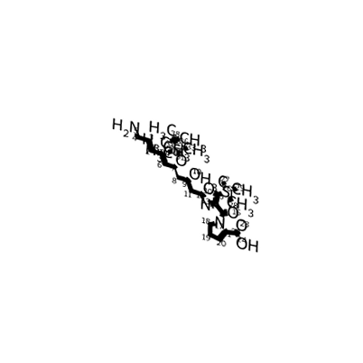 CC(/C=C/CN)=C\[C@H](CC(=O)Cc1nc(C(=O)N2CCC=C2C(=O)O)c([Si](C)(C)C)o1)O[Si](C)(C)C(C)(C)C